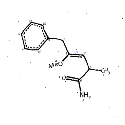 CO/C(=C\C(C)C(N)=O)Cc1ccccc1